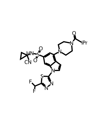 CC(C)C(=O)N1CCN(c2cc(S(=O)(=O)NC3(C#N)CC3)cc3c2ccn3-c2nnc(C(F)F)s2)CC1